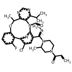 C=CC(=O)N1CCN(/C(=N/C)c2cc(Cl)c3nc2N(C=O)c2c(C(C)C)ncnc2C(C)Oc2cccc(F)c2-3)C(C)C1